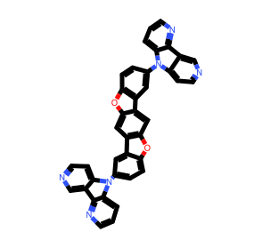 c1cnc2c3cnccc3n(-c3ccc4oc5cc6c(cc5c4c3)oc3ccc(-n4c5ccncc5c5ncccc54)cc36)c2c1